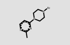 CC(=O)N1CCN(c2ccnc(C)n2)CC1